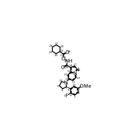 COc1ccc(F)c([C@H]2CCCN2c2ccn3ncc(C(=O)NOC(=O)C4CCCCC4)c3c2)c1